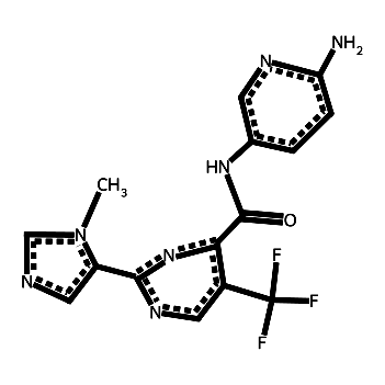 Cn1cncc1-c1ncc(C(F)(F)F)c(C(=O)Nc2ccc(N)nc2)n1